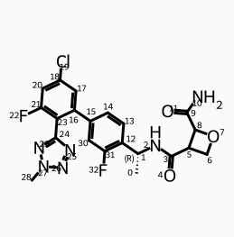 C[C@@H](NC(=O)C1COC1C(N)=O)c1ccc(-c2cc(Cl)cc(F)c2-c2nnn(C)n2)cc1F